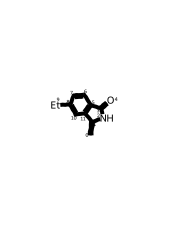 C=C1NC(=O)c2ccc(CC)cc21